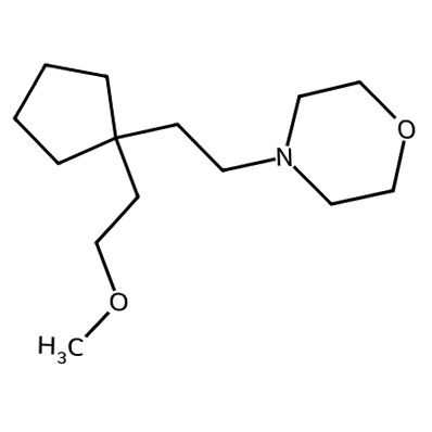 COCCC1(CCN2CCOCC2)CCCC1